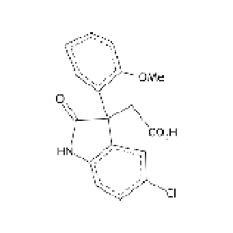 COc1ccccc1C1(CC(=O)O)C(=O)Nc2ccc(Cl)cc21